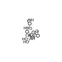 Cc1ccc(NC(=O)c2ccc3[nH]ccc3c2)cc1-c1nc(NC(CO)CO)nc2c1ccc(=O)n2-c1c(F)cccc1F